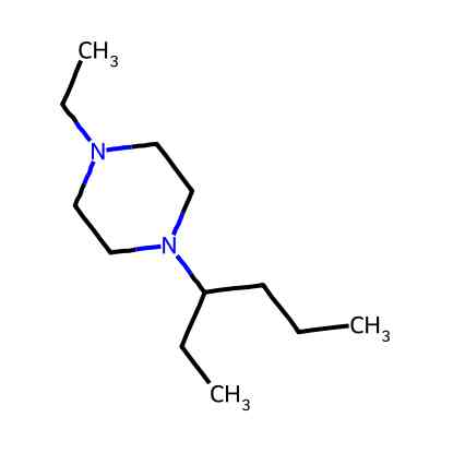 CCCC(CC)N1CCN(CC)CC1